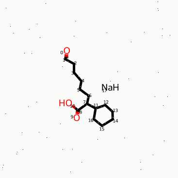 O=CCCCCCC(C(=O)O)C1CCCCC1.[NaH]